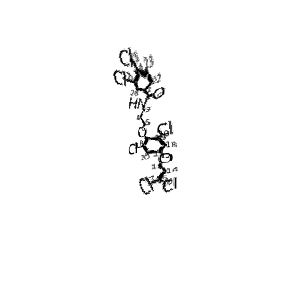 O=C(NCCCOc1c(Cl)cc(OCC=C(Cl)Cl)cc1Cl)c1ccc(Cl)c(Cl)c1